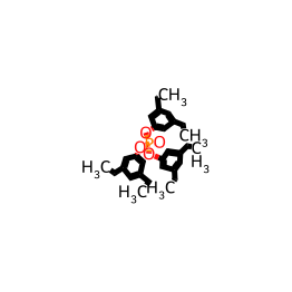 CCc1cc(CC)cc(OP(=O)(Oc2cc(CC)cc(CC)c2)Oc2cc(CC)cc(CC)c2)c1